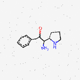 NC(C(=O)c1ccccc1)C1CCCN1